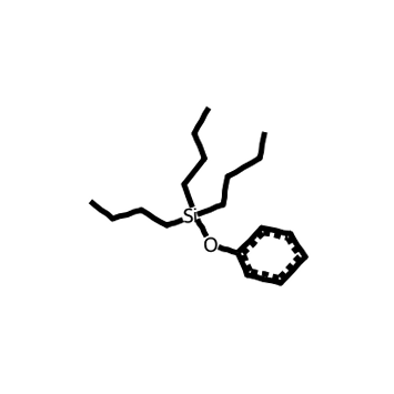 CCCC[Si](CCCC)(CCCC)Oc1ccccc1